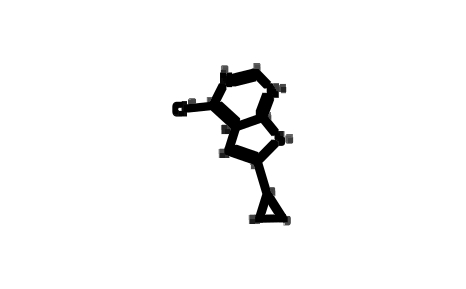 Clc1ncnc2sc(C3CC3)cc12